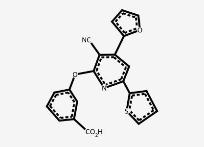 N#Cc1c(-c2ccco2)cc(-c2cccs2)nc1Oc1cccc(C(=O)O)c1